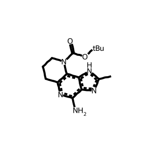 Cc1nc2c(N)nc3c(c2[nH]1)N(C(=O)OC(C)(C)C)CCC3